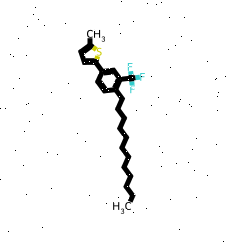 CCCCCCCCCCCCc1ccc(-c2ccc(C)s2)cc1C(F)(F)F